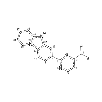 CC(C)c1ccnc(-c2ccc3c(c2)nc2ccccn23)c1